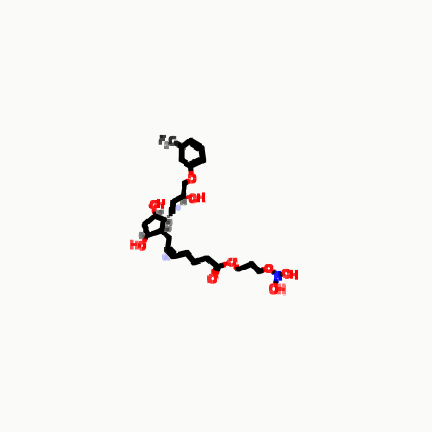 O=C(CCC/C=C\C[C@@H]1[C@@H](/C=C/[C@@H](O)COc2cccc(C(F)(F)F)c2)[C@H](O)C[C@@H]1O)OCCCON(O)O